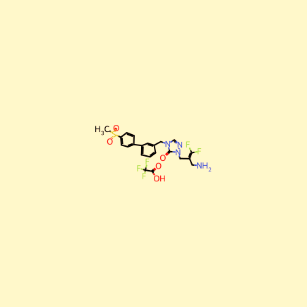 CS(=O)(=O)c1ccc(-c2cccc(Cn3cnn(CC(CN)=C(F)F)c3=O)c2)cc1.O=C(O)C(F)(F)F